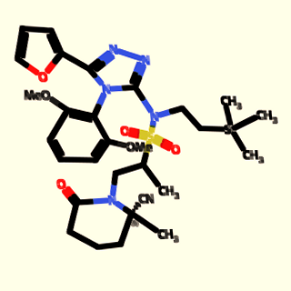 COc1cccc(OC)c1-n1c(-c2ccco2)nnc1N(CC[Si](C)(C)C)S(=O)(=O)C(C)CN1C(=O)CCC[C@@]1(C)C#N